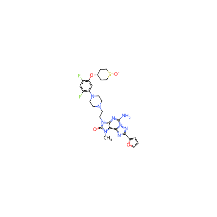 Cn1c(=O)n(CCN2CCN(c3cc(O[C@H]4CC[S@@+]([O-])CC4)c(F)cc3F)CC2)c2nc(N)n3nc(-c4ccco4)nc3c21